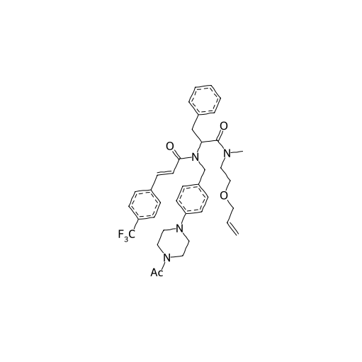 C=CCOCCN(C)C(=O)C(Cc1ccccc1)N(Cc1ccc(N2CCN(C(C)=O)CC2)cc1)C(=O)C=Cc1ccc(C(F)(F)F)cc1